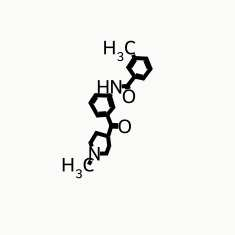 Cc1cccc(C(=O)Nc2cccc(C(=O)C3CCN(C)CC3)c2)c1